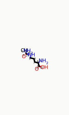 C.NC(=O)NCCCC(N)C(=O)O